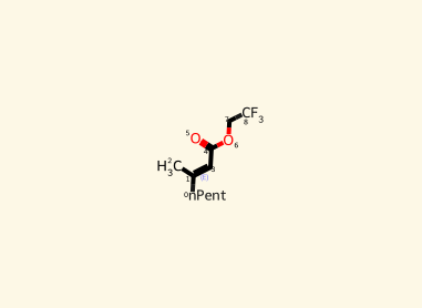 CCCCC/C(C)=C/C(=O)OCC(F)(F)F